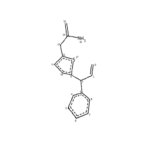 C=CC(c1ccccc1)c1ccc(CC(=C)N)s1